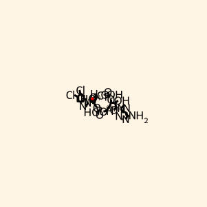 Nc1ncnc2c1ncn2[C@@H]1O[C@@H]2COP(=O)(O)OC3C(O)[C@@H](COP(=O)(O)OC2C1O)O[C@H]3n1cnc2cc(Cl)c(Cl)cc21